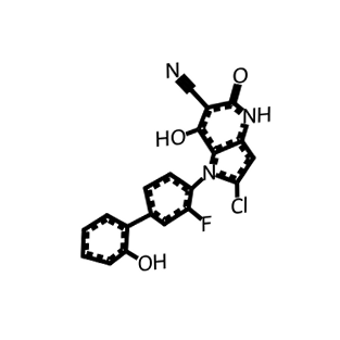 N#Cc1c(O)c2c(cc(Cl)n2-c2ccc(-c3ccccc3O)cc2F)[nH]c1=O